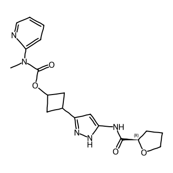 CN(C(=O)OC1CC(c2cc(NC(=O)[C@H]3CCCO3)[nH]n2)C1)c1ccccn1